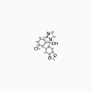 OC1(c2ccc3c(c2)OCO3)c2cc(Cl)ccc2C2=NCCN21